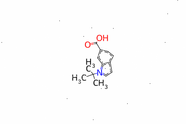 CC(C)(C)n1ccc2ccc(C(=O)O)cc21